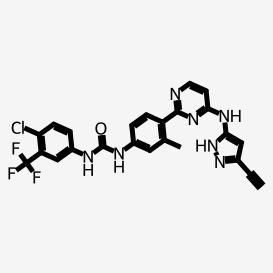 C#Cc1cc(Nc2ccnc(-c3ccc(NC(=O)Nc4ccc(Cl)c(C(F)(F)F)c4)cc3C)n2)[nH]n1